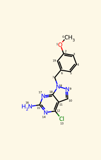 COc1cccc(Cn2ncc3c(Cl)nc(N)nc32)c1